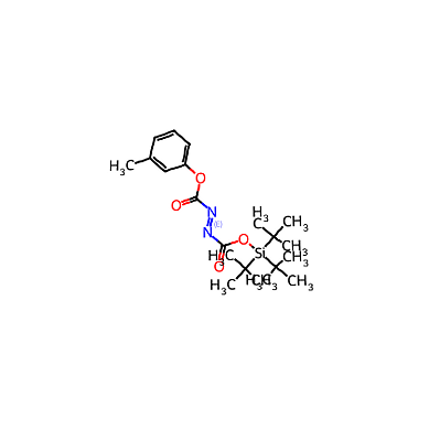 Cc1cccc(OC(=O)/N=N/C(=O)O[Si](C(C)(C)C)(C(C)(C)C)C(C)(C)C)c1